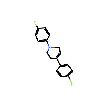 Fc1ccc(C2=CCN(c3ccc(F)cc3)CC2)cc1